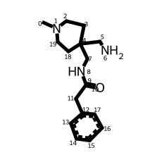 CN1CCC(CN)(CNC(=O)Cc2ccccc2)CC1